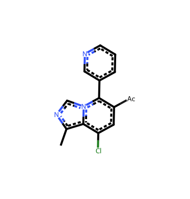 CC(=O)c1cc(Cl)c2c(C)ncn2c1-c1cccnc1